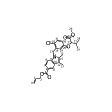 C=CCOC(=O)c1ccc2c(c1)c(C)c(C)n2Cc1cc(OC(C(=O)OC)C(C)C)ccc1Cl